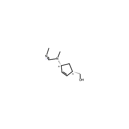 C/N=C\N(C)[C@H]1C=C[C@@H](CO)C1